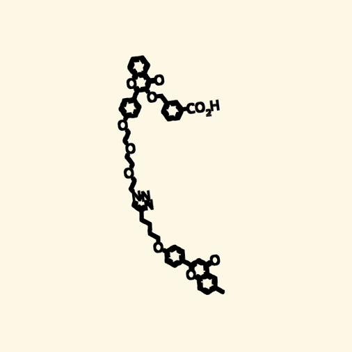 Cc1ccc2oc(-c3ccc(OCCCCc4cn(CCOCCOCCOc5ccc(-c6oc7ccccc7c(=O)c6OCc6cccc(C(=O)O)c6)cc5)nn4)cc3)cc(=O)c2c1